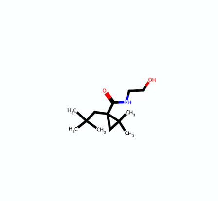 CC(C)(C)CC1(C(=O)NCCO)CC1(C)C